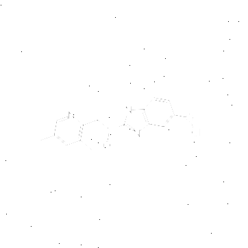 Cc1cnc(C[S+]([O-])c2nc3cc(OC(F)(F)F)ccc3[nH]2)c(C)c1